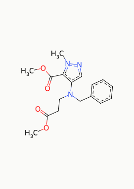 COC(=O)CCN(Cc1ccccc1)c1cnn(C)c1C(=O)OC